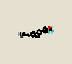 C=CCCC1CCC2C(CCC3CC(c4ccc(OC(F)(F)F)cc4)CCC32)C1